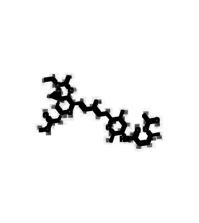 CCOC(C)O[C@@H]1[C@@H](/C=C/C(C)=C/C[C@@H]2O[C@H](C)[C@H](NC(=O)/C=C\[C@H](C)OC(C)=O)C[C@@H]2C)O[C@H](CC(=O)OC)C[C@@]12CO2